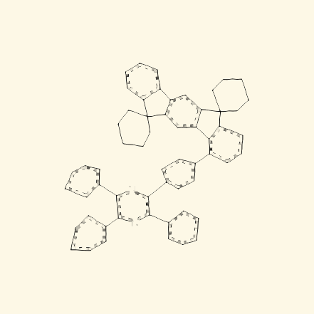 c1ccc(-c2nc(-c3ccccc3)c(-c3ccc(-c4cccc5c4-c4cc6c(cc4C54CCCCC4)-c4ccccc4C64CCCCC4)cc3)nc2-c2ccccc2)cc1